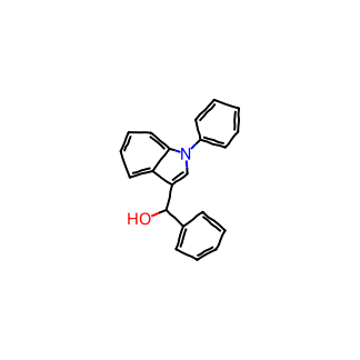 OC(c1ccccc1)c1cn(-c2ccccc2)c2ccccc12